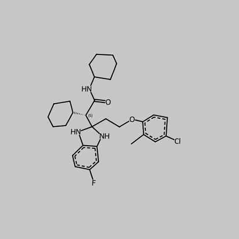 Cc1cc(Cl)ccc1OCCC1([C@@H](C(=O)NC2CCCCC2)C2CCCCC2)Nc2ccc(F)cc2N1